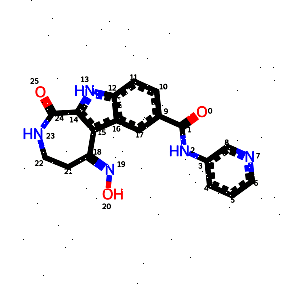 O=C(Nc1cccnc1)c1ccc2[nH]c3c(c2c1)C(=NO)CCNC3=O